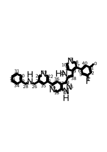 Cc1cc(F)cc(-c2cncc3[nH]c(-c4n[nH]c5cnc(-c6cncc(CNCc7ccccc7)c6)cc45)cc23)c1